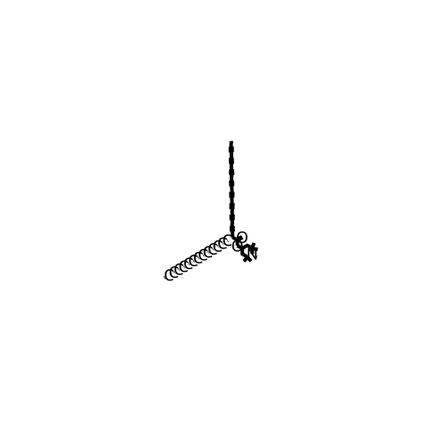 C=C=C=C=C=C=C=C=C=C=C=C=C=C=C(C#CC#CC#CC#CC#CC#CC#CC#CC)C(=O)OC1CC(C)(C)N(C)C(C)(C)C1